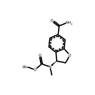 CN(C(=O)OC(C)(C)C)[C@@H]1COc2cc(C(N)=O)ccc21